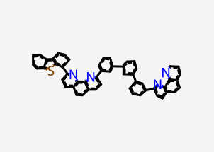 c1cc(-c2cccc(-c3ccc4ccc5cccnc5c4n3)c2)cc(-c2cccc(-c3ccc4ccc5ccc(-c6cccc7c6sc6ccccc67)nc5c4n3)c2)c1